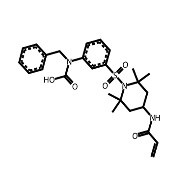 C=CC(=O)NC1CC(C)(C)N(S(=O)(=O)c2cccc(N(Cc3ccccc3)C(=O)O)c2)C(C)(C)C1